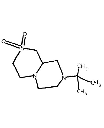 CC(C)(C)N1CCN2CCS(=O)(=O)CC2C1